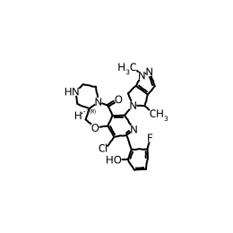 CC1c2cnn(C)c2CN1c1nc(-c2c(O)cccc2F)c(Cl)c2c1C(=O)N1CCNC[C@@H]1CO2